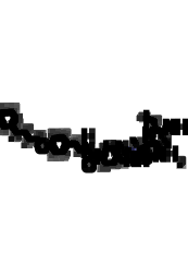 Nc1nc(N)c(C(=O)/N=C2\NCC3(CCN(C(=O)NCCc4ccc(OCCCCc5ccccc5)cc4)CC3)N2)nc1CI